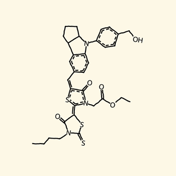 CCCCN1C(=O)/C(=c2\s/c(=C/c3ccc4c(c3)C3CCCC3N4c3ccc(CO)cc3)c(=O)n2CC(=O)OCC)SC1=S